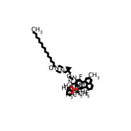 CCCCCCCCCCCCCCCC(=O)N1CCN(CC2(COc3nc(N4CC5CCC(C5)C4)c4c(OC)nc(-c5cc(C)cc6ccc(F)c(C#C[Si](C(C)C)(C(C)C)C(C)C)c56)c(F)c4n3)CC2)CC1